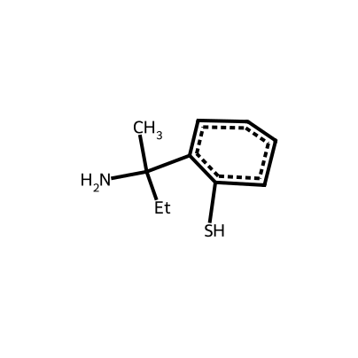 CCC(C)(N)c1ccccc1S